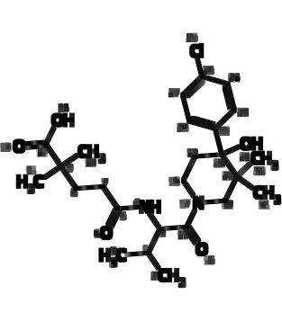 CC(C)C(NC(=O)CCC(C)(C)C(=O)O)C(=O)N1CCC(O)(c2ccc(Cl)cc2)C(C)(C)C1